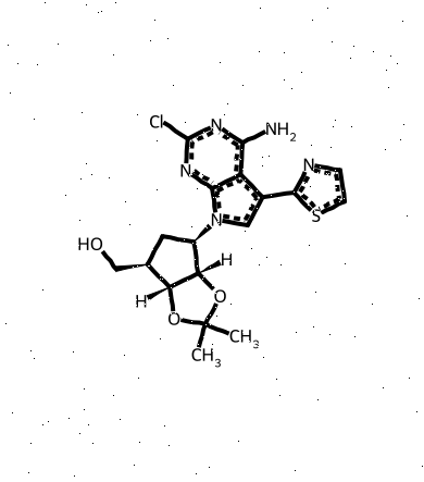 CC1(C)O[C@@H]2[C@@H](CO)C[C@@H](n3cc(-c4nccs4)c4c(N)nc(Cl)nc43)[C@@H]2O1